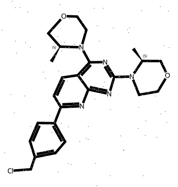 C[C@H]1COCCN1c1nc(N2CCOC[C@@H]2C)c2ccc(-c3ccc(CCl)cc3)nc2n1